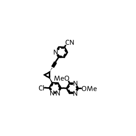 COc1ncc(-c2cc([C@H]3C[C@@H]3C#Cc3ccc(C#N)cn3)c(Cl)nn2)c(OC)n1